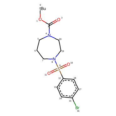 CC(C)(C)OC(=O)N1CCCN(S(=O)(=O)c2ccc(Br)cc2)CC1